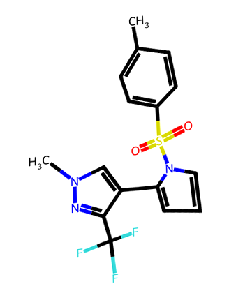 Cc1ccc(S(=O)(=O)n2cccc2-c2cn(C)nc2C(F)(F)F)cc1